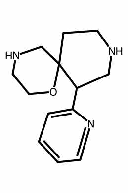 c1ccc(C2CNCCC23CNCCO3)nc1